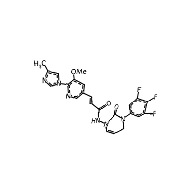 COc1cc(C=CC(=O)NN2C=CCN(c3cc(F)c(F)c(F)c3)C2=O)cnc1-n1cnc(C)c1